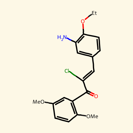 CCOc1ccc(C=C(Cl)C(=O)c2cc(OC)ccc2OC)cc1N